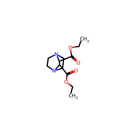 CCOC(=O)C1C(C(=O)OCC)N2CCN1CC2